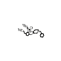 CC(C)(C)OC(=O)N[C@@H]1CCN(Cc2ccccc2)C[C@H]1Cc1ccc(CCC#N)cc1